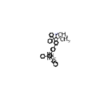 C=CC1=C(/C=C\C)C(c2ccccc2)(c2ccccc2)c2cc(-c3ccc(-c4nc(-c5ccccc5)nc(-c5cc6ccccc6s5)n4)cc3)ccc21